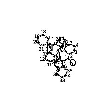 O=C1c2ccccc2C2(c3ccccc3N(c3ccccc3)c3ccccc32)c2ccc3ccccc3c21